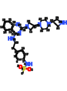 CS(=O)(=O)Nc1ccc(CCNc2nc(N3CC(N4CCN(C5CNC5)CC4)C3)nc3ccccc23)cc1